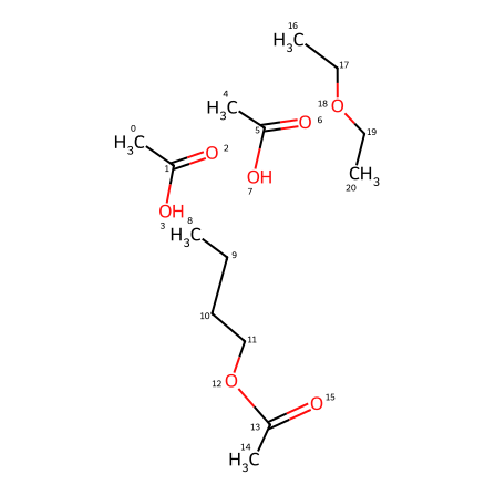 CC(=O)O.CC(=O)O.CCCCOC(C)=O.CCOCC